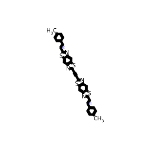 Cc1ccc(/C=C/c2nc3cc4sc(C#Cc5nc6cc7sc(/C=C/c8ccc(C)cc8)nc7cc6s5)nc4cc3s2)cc1